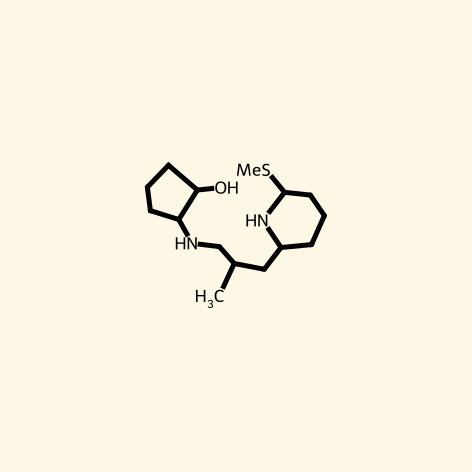 CSC1CCCC(CC(C)CNC2CCCC2O)N1